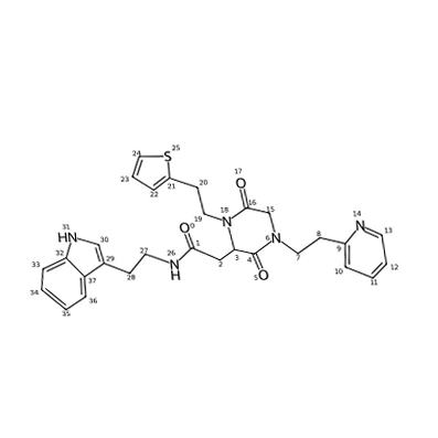 O=C(CC1C(=O)N(CCc2ccccn2)CC(=O)N1CCc1cccs1)NCCc1c[nH]c2ccccc12